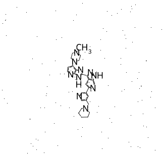 CN1CCN(c2ccnc3[nH]c(-c4n[nH]c5cnc(-c6cncc(CN7CCCCC7)c6)cc45)nc23)CC1